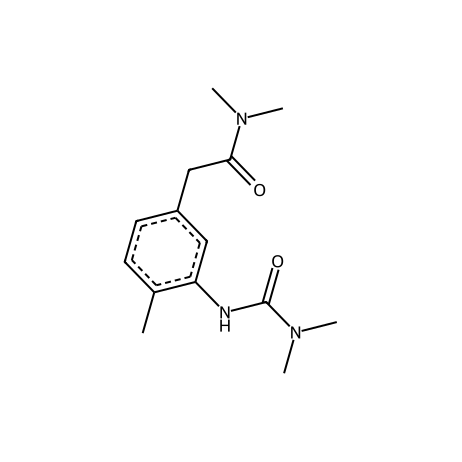 Cc1ccc(CC(=O)N(C)C)cc1NC(=O)N(C)C